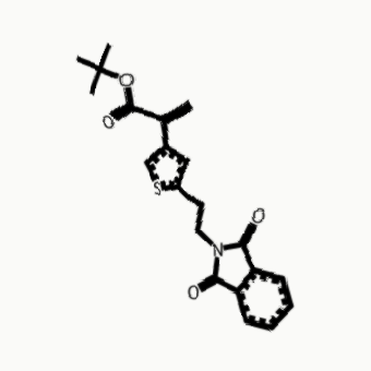 C=C(C(=O)OC(C)(C)C)c1csc(CCN2C(=O)c3ccccc3C2=O)c1